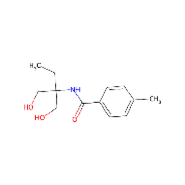 CCC(CO)(CO)NC(=O)c1ccc(C)cc1